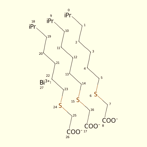 CC(C)CCCCCSCC(=O)[O-].CC(C)CCCCCSCC(=O)[O-].CC(C)CCCCCSCC(=O)[O-].[Bi+3]